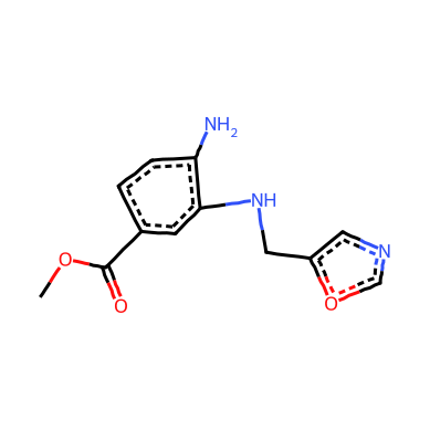 COC(=O)c1ccc(N)c(NCc2cnco2)c1